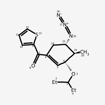 CCC(CC)O[C@@H]1C=C(C(=O)c2cccs2)C[C@H](N=[N+]=[N-])[C@H]1C